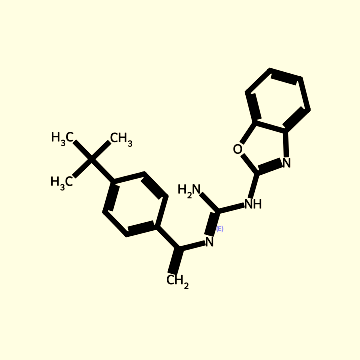 C=C(/N=C(\N)Nc1nc2ccccc2o1)c1ccc(C(C)(C)C)cc1